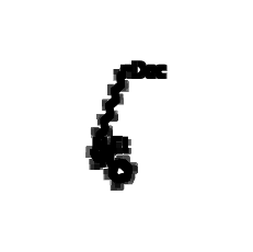 CCCCCCCCCCCCCCCCCCC[n+]1ccn(-c2ccccc2)c1CC